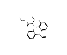 C=CCc1ccccc1N(c1c(Cl)cccc1Cl)C(CC)C(=O)OCC